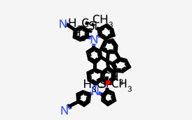 C[Si](C)(C)c1ccccc1N(c1ccc(C#N)cc1)c1ccc2c(c1)C1(c3ccccc3-c3ccccc31)c1cccc3c(N(c4ccc(C#N)cc4)c4ccccc4[Si](C)(C)C)ccc-2c13